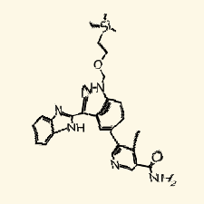 Cc1c(C(N)=O)cncc1-c1ccc2c(c1)c(-c1nc3ccccc3[nH]1)nn2COCC[Si](C)(C)C